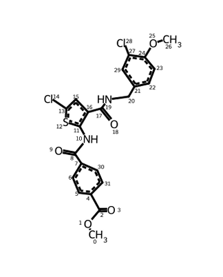 COC(=O)c1ccc(C(=O)Nc2sc(Cl)cc2C(=O)NCc2ccc(OC)c(Cl)c2)cc1